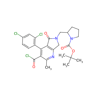 Cc1nc2c(c(-c3ccc(Cl)cc3Cl)c1C(=O)Cl)C(=O)N(CC1CCCN1C(=O)OC(C)(C)C)C2